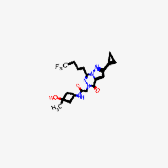 CC1(O)CC(NC(=O)Cn2nc(CCCC(F)(F)F)n3nc(C4CC4)cc3c2=O)C1